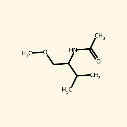 COCC(NC(C)=O)C(C)C